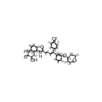 O=C(/C=C/C=C(\c1ccc(C(F)(F)F)cc1)c1cccc(OC2CCOCC2)c1)Nc1cccc2c1CC(O)C(=O)N2